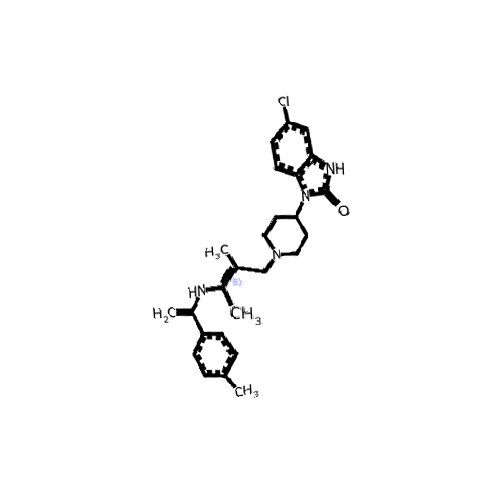 C=C(N/C(C)=C(\C)CN1CCC(n2c(=O)[nH]c3cc(Cl)ccc32)CC1)c1ccc(C)cc1